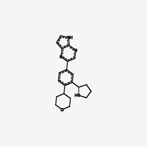 c1cc2nc(-c3ccc(C4CCOCC4)c(C4CCCN4)c3)cnc2[nH]1